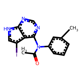 CC(=O)N(c1cccc(C)c1)c1ncnc2[nH]cc(I)c12